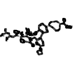 C=C(/C=C(F)\C=C(/C)F)[C@H]1OC(=O)N(Cc2nc(N3CCC3)ccc2-c2cc([C@H]3CC[C@H](C(=O)OC)CC3)ccc2OC)[C@H]1C